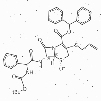 C=CCSC1=C(C(=O)OC(c2ccccc2)c2ccccc2)N2C(=O)[C@@H](NC(=O)C(NC(=O)OC(C)(C)C)c3ccccc3)[C@@H]2[S+]([O-])C1